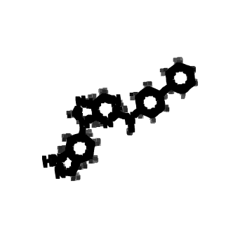 CN(c1ccc(-c2ccccc2)cc1)c1ncc2ncn(-c3ccc4cn[nH]c4c3)c2n1